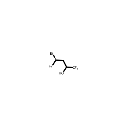 CC[C@@H](CC(O)C(F)(F)F)C(C)C